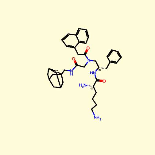 NCCCC[C@H](N)C(=O)N[C@@H](Cc1ccccc1)CN(CC(=O)NCC12CC3CC(CC(C3)C1)C2)C(=O)Cc1cccc2ccccc12